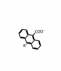 O=C([O-])c1c2ccccc2cc2ccccc12.[K+]